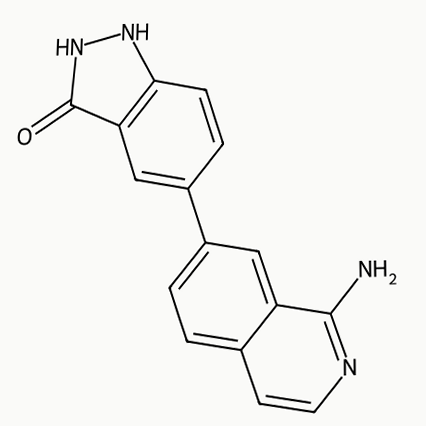 Nc1nccc2ccc(-c3ccc4[nH][nH]c(=O)c4c3)cc12